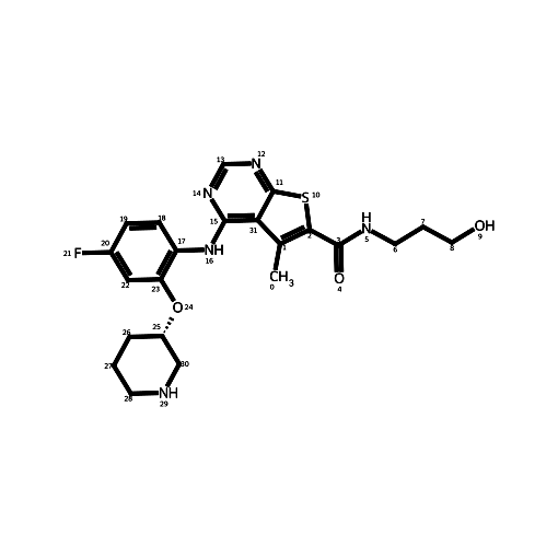 Cc1c(C(=O)NCCCO)sc2ncnc(Nc3ccc(F)cc3O[C@H]3CCCNC3)c12